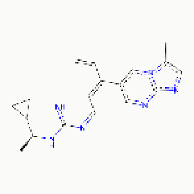 C=C/C(=C/C=N\C(=N)N[C@@H](C)C1CC1)c1cnc2ncc(C)n2c1